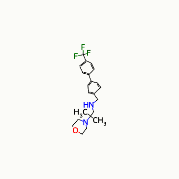 CC(C)(CNCc1ccc(-c2ccc(C(F)(F)F)cc2)cc1)N1CCOCC1